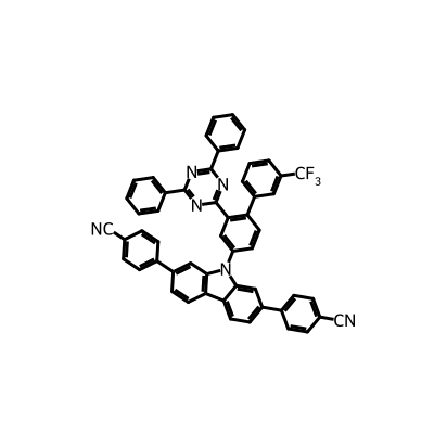 N#Cc1ccc(-c2ccc3c4ccc(-c5ccc(C#N)cc5)cc4n(-c4ccc(-c5cccc(C(F)(F)F)c5)c(-c5nc(-c6ccccc6)nc(-c6ccccc6)n5)c4)c3c2)cc1